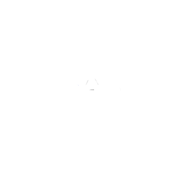 CCOc1ccc(N2CCSCC2)cc1